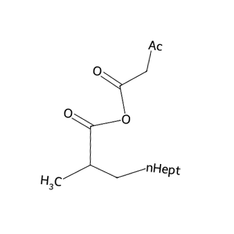 CCCCCCCCC(C)C(=O)OC(=O)CC(C)=O